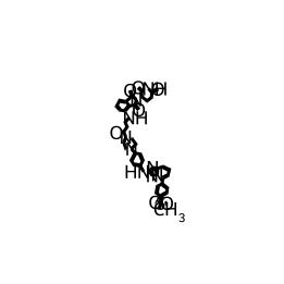 CS(=O)(=O)c1ccc(-c2cccc3nc(Nc4ccc(N5CCN(C(=O)CCNc6cccc7c6C(=O)N(C6CCC(=O)NC6=O)C7=O)CC5)cc4)nn23)cc1